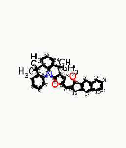 CC1(C)c2ccccc2N2c3oc(/C=C4/Cc5cc6ccccc6cc5C4=O)cc3C(C)(C)c3cccc1c32